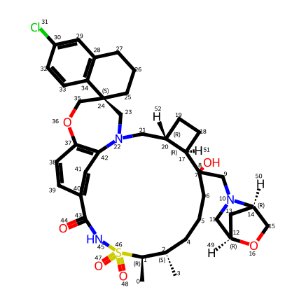 C[C@@H]1[C@@H](C)CCCC(O)(CN2C[C@H]3C[C@@H]2CO3)[C@@H]2CC[C@H]2CN2C[C@@]3(CCCc4cc(Cl)ccc43)COc3ccc(cc32)C(=O)NS1(=O)=O